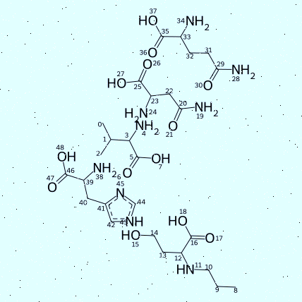 CC(C)C(N)C(=O)O.CCCNC(CCO)C(=O)O.NC(=O)CC(N)C(=O)O.NC(=O)CCC(N)C(=O)O.NC(Cc1c[nH]cn1)C(=O)O